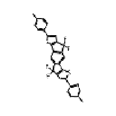 Cc1ccc(-c2cc3c(s2)-c2cc4c(cc2C3(F)F)-c2sc(-c3ccc(C)cc3)cc2C4(F)F)cc1